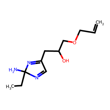 C=CCOCC(O)CC1=NC(N)(CC)N=C1